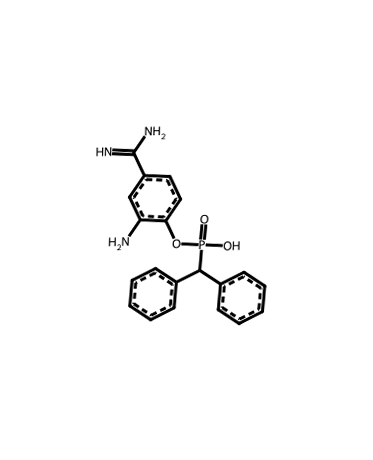 N=C(N)c1ccc(OP(=O)(O)C(c2ccccc2)c2ccccc2)c(N)c1